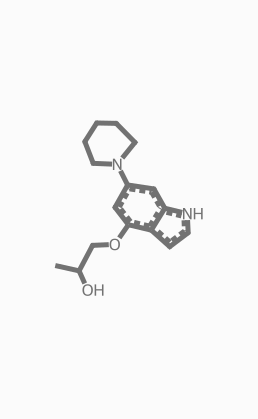 CC(O)COc1cc(N2CCCCC2)cc2[nH]ccc12